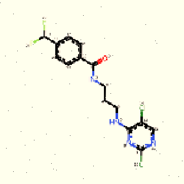 O=C(NCCCNc1nc(Cl)ncc1Cl)c1ccc(C(F)F)cc1